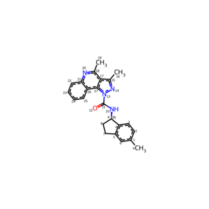 Cc1ccc2c(c1)CC[C@H]2NC(=O)n1nc(C)c2c(C)nc3ccccc3c21